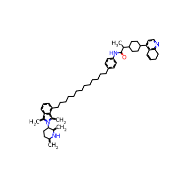 C=C1CCC(n2c(=C)c3cccc(CCCCCCCCCCCCCc4ccc(NC(=O)C(C)C5CCC(c6ccnc7c6C=CCC7)CC5)cc4)c3c2=C)C(=C)N1